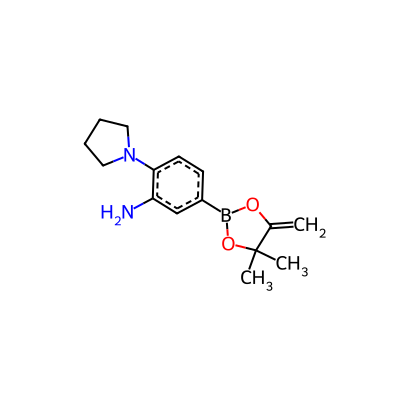 C=C1OB(c2ccc(N3CCCC3)c(N)c2)OC1(C)C